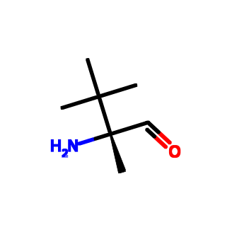 CC(C)(C)[C@@](C)(N)C=O